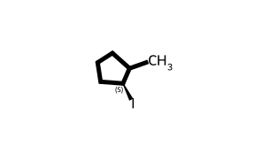 CC1CCC[C@@H]1I